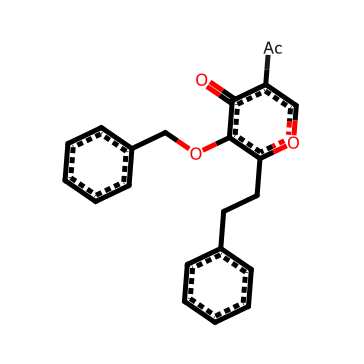 CC(=O)c1coc(CCc2ccccc2)c(OCc2ccccc2)c1=O